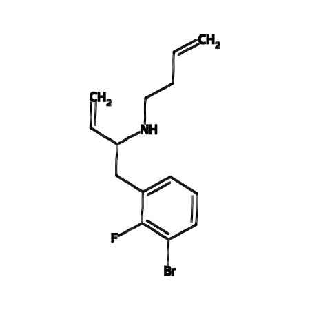 C=CCCNC(C=C)Cc1cccc(Br)c1F